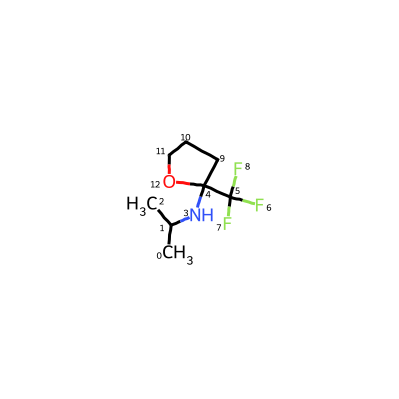 CC(C)NC1(C(F)(F)F)CCCO1